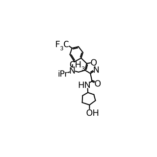 CC(C)N(C)Cc1c(C(=O)NC2CCC(O)CC2)noc1-c1ccc(C(F)(F)F)cc1